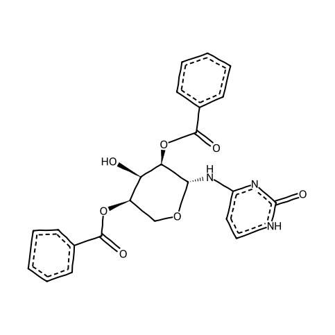 O=C(O[C@@H]1[C@H](O)[C@H](OC(=O)c2ccccc2)CO[C@H]1Nc1cc[nH]c(=O)n1)c1ccccc1